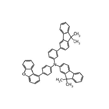 CC1(C)c2ccccc2-c2cc(-c3cccc(N(c4ccc(-c5cccc6oc7ccccc7c56)cc4)c4ccc5c(c4)C(C)(C)c4ccccc4-5)c3)ccc21